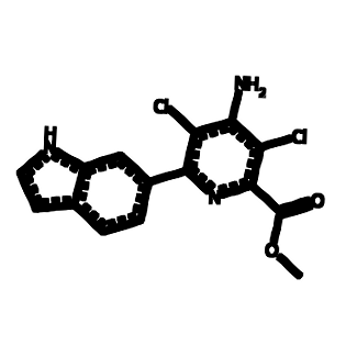 COC(=O)c1nc(-c2ccc3cc[nH]c3c2)c(Cl)c(N)c1Cl